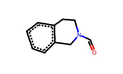 O=CN1CCc2[c]cccc2C1